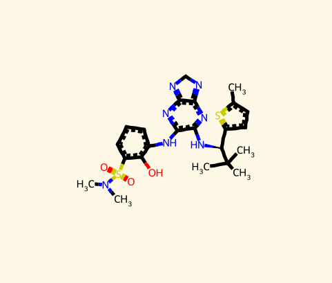 Cc1ccc([C@H](Nc2nc3c(nc2Nc2cccc(S(=O)(=O)N(C)C)c2O)=NCN=3)C(C)(C)C)s1